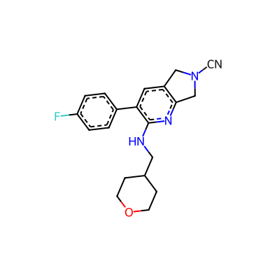 N#CN1Cc2cc(-c3ccc(F)cc3)c(NCC3CCOCC3)nc2C1